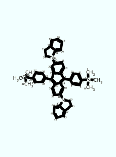 C[Si](C)(C)c1ccc(-c2c3ccc(N4CCc5ccccc54)cc3c(-c3ccc([Si](C)(C)C)cc3)c3ccc(N4CCc5ccccc54)cc23)cc1